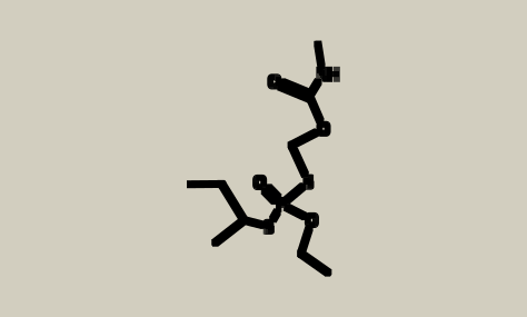 CCOP(=O)(SCOC(=O)NC)SC(C)CC